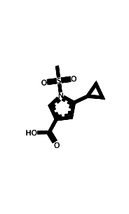 CS(=O)(=O)n1cc(C(=O)O)cc1C1CC1